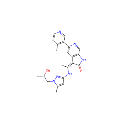 C/C(Nc1cc(C)n(CC(C)O)n1)=C1/C(=O)Nc2cnc(-c3cnccc3C)cc21